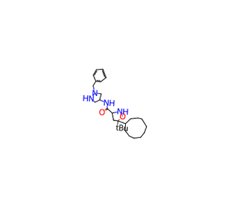 CC(C)(C)C1(C2CCCCCCCCC2)CC(C(=O)NC2CNN(Cc3ccccc3)C2)NO1